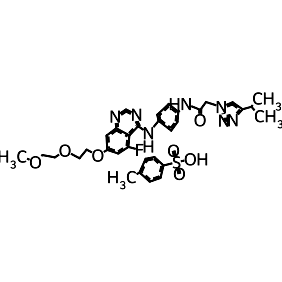 COCCOCCOc1cc(F)c2c(Nc3ccc(NC(=O)Cn4cc(C(C)C)nn4)cc3)ncnc2c1.Cc1ccc(S(=O)(=O)O)cc1